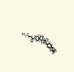 C/C=C/C(=O)N1CCC2(CC1)CCN(C(=O)Nc1ccc(OC(F)(F)F)cc1)C2